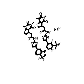 Cn1c(=O)c2c(CC(=O)Nc3nc(-c4ccc(C(F)(F)F)c(F)c4)cs3)csc2n(C)c1=O.Cn1c(=O)c2c(CC(=O)Nc3nc(-c4ccc(F)c(C(F)(F)F)c4F)cs3)csc2n(C)c1=O.[NaH]